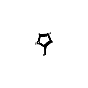 Cc1cnco1